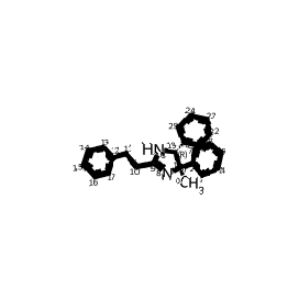 C[C@@]1(c2ccccc2)N=C(CCc2ccccc2)N[C@@H]1c1ccccc1